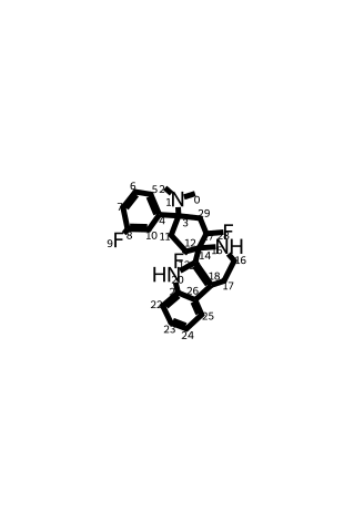 CN(C)C1(c2cccc(F)c2)CC(F)C2(NCCc3c2[nH]c2ccccc32)C(F)C1